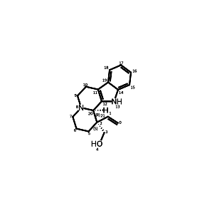 C=C[C@@]1(CO)CCCN2CCc3c([nH]c4ccccc34)[C@H]21